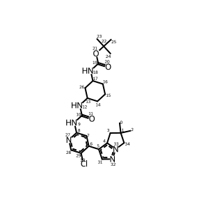 CC1(C)Cc2c(-c3cc(NC(=O)NC4CCCC(NC(=O)OC(C)(C)C)C4)ncc3Cl)cnn2C1